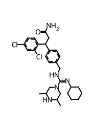 CC1CN(/C(=N\C2CCCCC2)NCc2ccc(C(CC(N)=O)c3ccc(Cl)cc3Cl)cc2)CC(C)N1